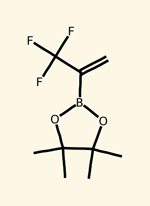 C=C(B1OC(C)(C)C(C)(C)O1)C(F)(F)F